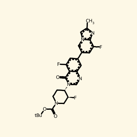 Cc1cn2cc(-c3cc(F)c4c(=O)n([C@H]5CCN(C(=O)OC(C)(C)C)C[C@@H]5F)cnc4c3)cc(F)c2n1